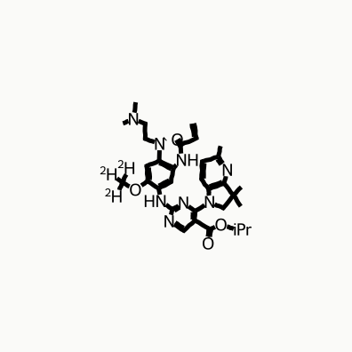 [2H]C([2H])([2H])Oc1cc(N(C)CCN(C)C)c(NC(=O)C=C)cc1Nc1ncc(C(=O)OC(C)C)c(N2CC(C)(C)c3nc(C)ccc32)n1